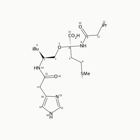 CC[C@H](C)[C@@H](CO[C@](CCSC)(NC(=O)CC(C)C)C(=O)O)NC(=O)Cc1c[nH]cn1